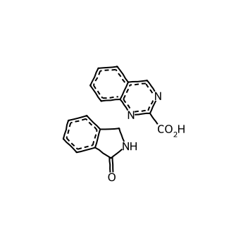 O=C(O)c1ncc2ccccc2n1.O=C1NCc2ccccc21